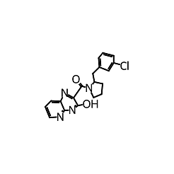 O=C(c1nc2cccnc2nc1O)N1CCCC1Cc1cccc(Cl)c1